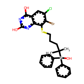 CC(C)(CCCSc1c(Br)c(Cl)cc2c(O)nc(O)nc12)[Si](O)(c1ccccc1)c1ccccc1